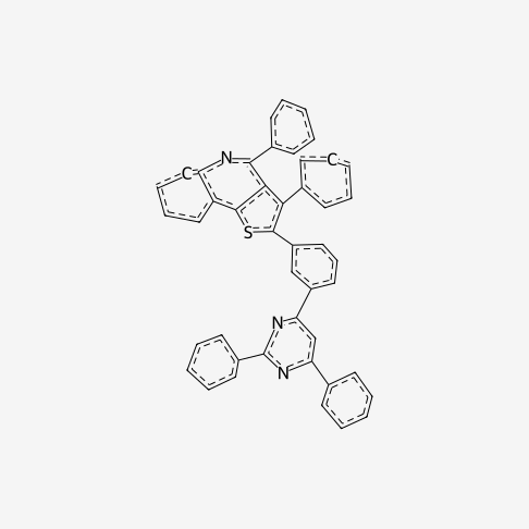 c1ccc(-c2cc(-c3cccc(-c4sc5c(c(-c6ccccc6)nc6ccccc65)c4-c4ccccc4)c3)nc(-c3ccccc3)n2)cc1